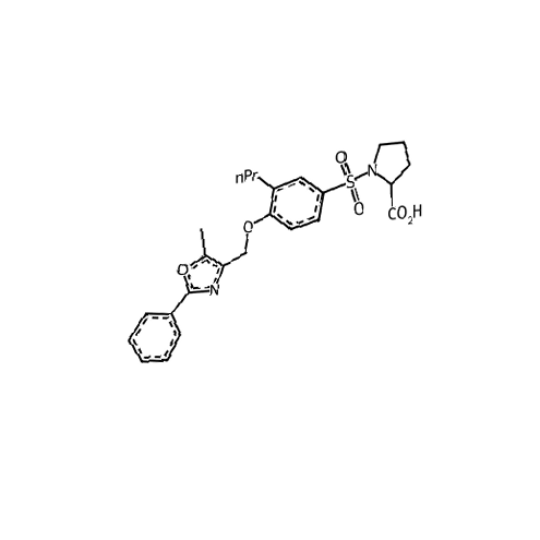 CCCc1cc(S(=O)(=O)N2CCCC2C(=O)O)ccc1OCc1nc(-c2ccccc2)oc1C